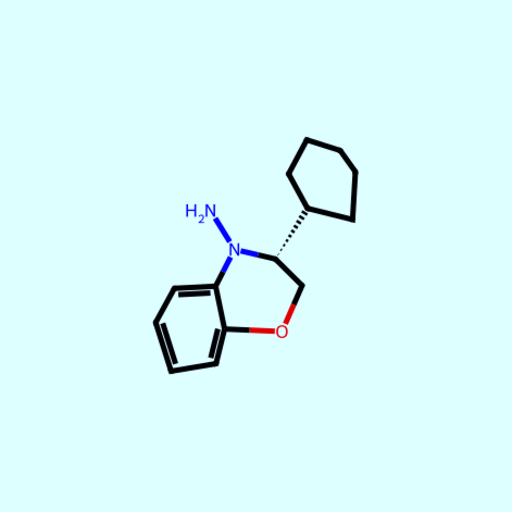 NN1c2ccccc2OC[C@H]1C1CCCCC1